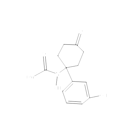 CN(C(=O)C(C)(C)C)C1(c2cccc(O)c2)CCC(=O)CC1